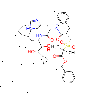 CC(C)(C(=O)OCc1ccccc1)S(=O)(=O)C[C@@H](Cc1ccccc1)C(=O)N[C@@H](Cc1c[nH]cn1)C(=O)N[C@@H](CC1CCCCC1)[C@@H](O)[C@@H](O)C1CC1